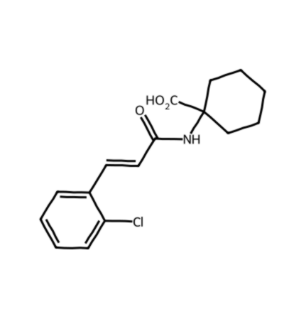 O=C(C=Cc1ccccc1Cl)NC1(C(=O)O)CCCCC1